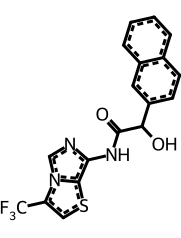 O=C(Nc1ncn2c(C(F)(F)F)csc12)C(O)c1ccc2ccccc2c1